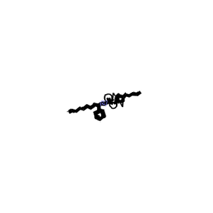 CCCCCCCCC(/C=C/C(=O)Oc1ncc(CCCCC)cn1)c1ccccc1